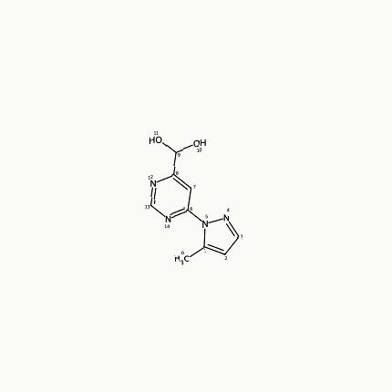 Cc1ccnn1-c1cc(C(O)O)ncn1